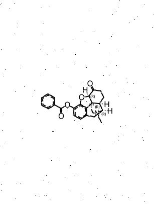 CN1CC[C@]23c4c5ccc(OC(=O)c6ccccc6)c4O[C@H]2C(=O)CC[C@H]3[C@H]1C5